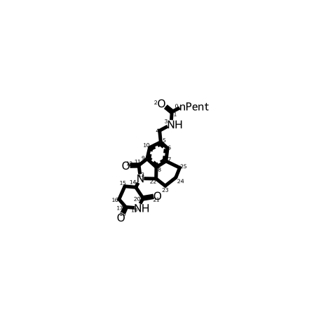 CCCCCC(=O)NCc1cc2c3c(c1)C(=O)N(C1CCC(=O)NC1=O)C3CCC2